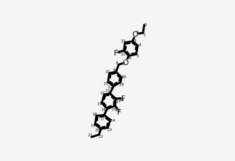 CCOc1ccc(OCc2ccc(-c3ccc(-c4ccc(CC)cc4)c(F)c3F)cc2)c(F)c1